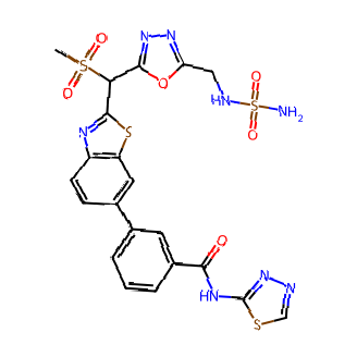 CS(=O)(=O)C(c1nnc(CNS(N)(=O)=O)o1)c1nc2ccc(-c3cccc(C(=O)Nc4nncs4)c3)cc2s1